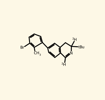 [2H]C1=NC([2H])(C(C)(C)C)Cc2cc(-c3cccc(Br)c3C)ccc21